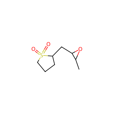 CC1OC1CC1CCCS1(=O)=O